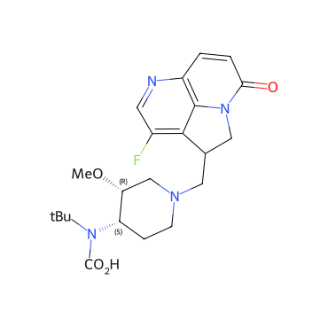 CO[C@@H]1CN(CC2Cn3c(=O)ccc4ncc(F)c2c43)CC[C@@H]1N(C(=O)O)C(C)(C)C